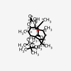 CC1=CC23C(=O)C(C4C(C[C@H]2C)C4(C)C)[C@H](O[Si](C)(C)C(C)(C)C)[C@H](C)C2OC(=O)OC23[C@H]1O